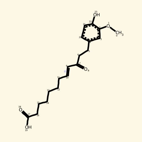 COc1cc(CCC(=O)/C=C/CCCCCCC(=O)O)ccc1O